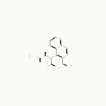 C=Cc1ccc2ccccc2c1C(C(=C)C(=O)O)C(=O)O